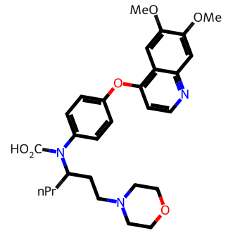 CCCC(CCN1CCOCC1)N(C(=O)O)c1ccc(Oc2ccnc3cc(OC)c(OC)cc23)cc1